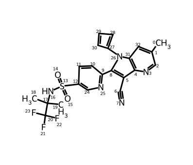 Cc1cnc2c(C#N)c(-c3ccc(S(=O)(=O)NC(C)(C)C(F)(F)F)cn3)n(C3=CC=C3)c2c1